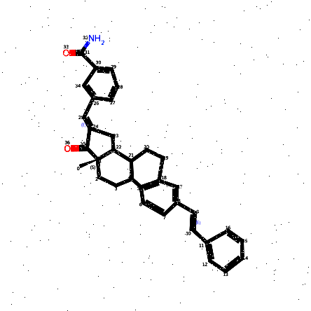 C[C@]12CCC3c4ccc(/C=C/c5ccccc5)cc4CCC3C1C/C(=C\c1cccc(C(N)=O)c1)C2=O